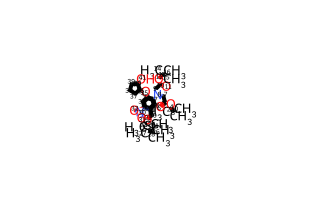 CC(C)(C)OC(=O)CN(CC(=O)OC(C)(C)C)c1cc(CO[Si](C)(C)C(C)(C)C)c([N+](=O)[O-])cc1O[C@H]1CCC[C@@H]1O